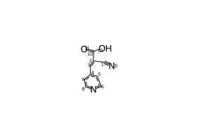 N#C/C(=C\c1ccncc1)C(=O)O